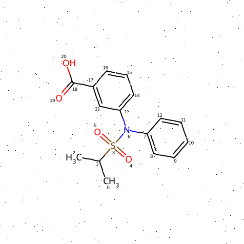 CC(C)S(=O)(=O)N(c1ccccc1)c1cccc(C(=O)O)c1